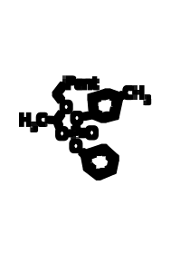 CCCC(C)COC(C)OP(=O)(Oc1ccccc1)Oc1ccc(C)cc1